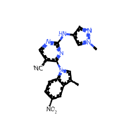 Cc1cn(-c2nc(Nc3cnn(C)c3)ncc2C#N)c2ccc([N+](=O)[O-])cc12